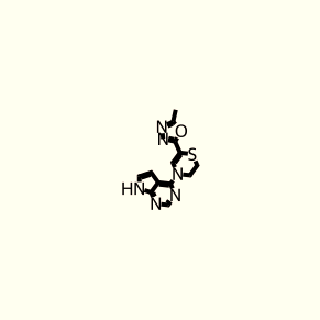 Cc1nnc(C2=CN(c3ncnc4[nH]ccc34)CCS2)o1